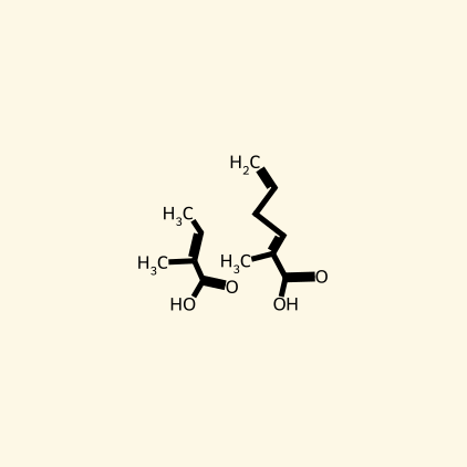 C/C=C(\C)C(=O)O.C=CC/C=C(\C)C(=O)O